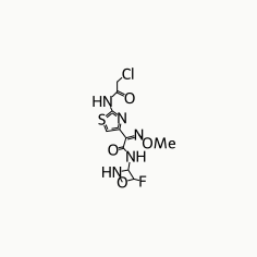 CON=C(C(=O)NC1NOC1F)c1csc(NC(=O)CCl)n1